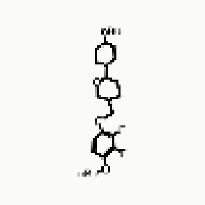 CCCCOc1ccc(OCC2CCC(C3CCC(CCCC)CC3)OC2)c(F)c1F